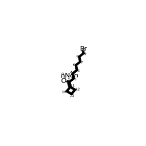 CCCCCCCCCOC(CCCCCCCBr)=C1CCC1